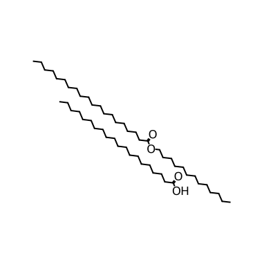 CCCCCCCCCCCCCCCCCCCC(=O)O.CCCCCCCCCCCCCCCCCCCC(=O)OCCCCCCCCCCCCC